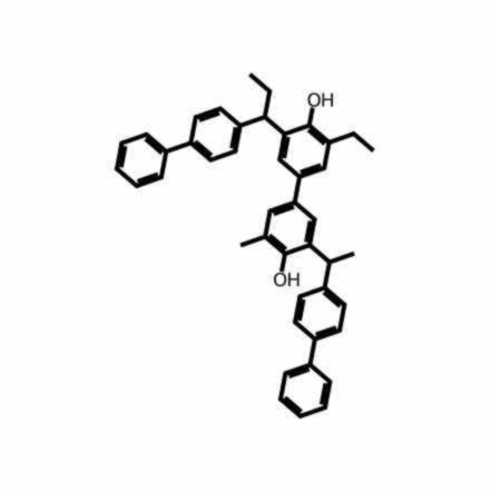 CCc1cc(-c2cc(C)c(O)c(C(C)c3ccc(-c4ccccc4)cc3)c2)cc(C(CC)c2ccc(-c3ccccc3)cc2)c1O